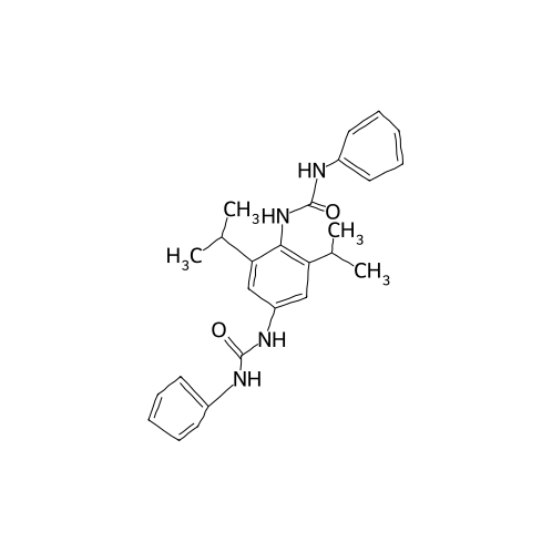 CC(C)c1cc(NC(=O)Nc2ccccc2)cc(C(C)C)c1NC(=O)Nc1ccccc1